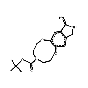 CC(C)(C)OC(=O)N1CCOc2cc3c(cc2OCC1)C(=N)NC3